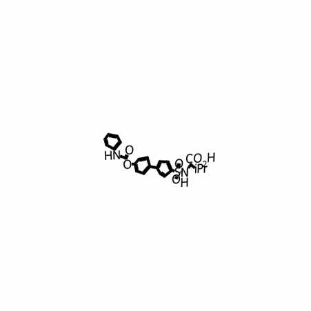 CC(C)C(NS(=O)(=O)c1ccc(-c2ccc(OC(=O)Nc3ccccc3)cc2)cc1)C(=O)O